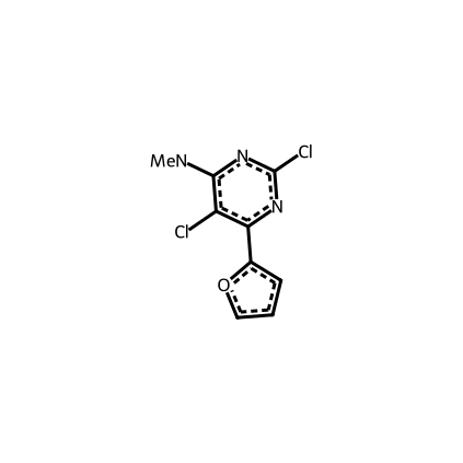 CNc1nc(Cl)nc(-c2ccco2)c1Cl